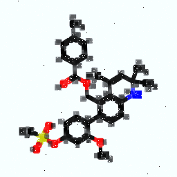 COc1cc(OS(C)(=O)=O)ccc1-c1ccc2c(c1COC(=O)c1ccc(C)cc1)C(C)=CC(C)(C)N2